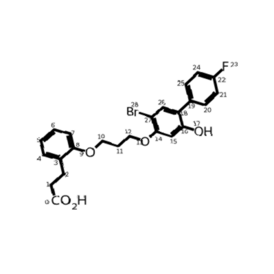 O=C(O)CCc1ccccc1OCCCOc1cc(O)c(-c2ccc(F)cc2)cc1Br